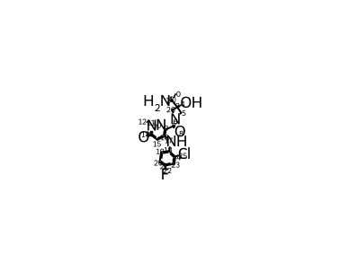 C[C@H](N)C1(O)CN(C(=O)c2nn(C)c(=O)cc2Nc2ccc(F)cc2Cl)C1